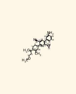 C=C(CCOC)N1CCN(c2nc(C3CC3)c(-c3cccc(N)c3)cc2C#N)C[C@H]1C